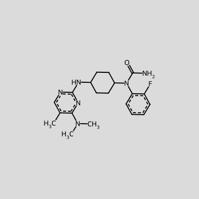 Cc1cnc(NC2CCC(N(C(N)=O)c3ccccc3F)CC2)nc1N(C)C